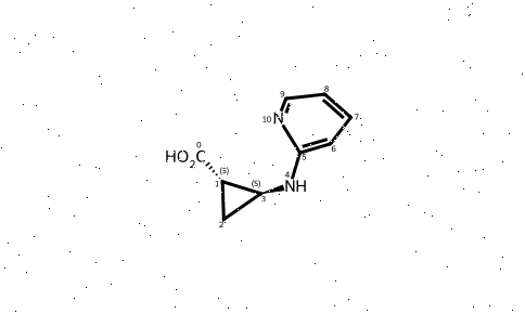 O=C(O)[C@H]1C[C@@H]1Nc1ccccn1